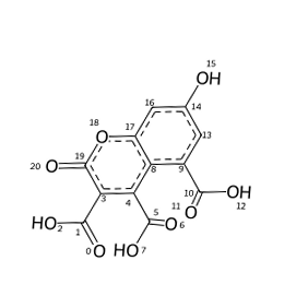 O=C(O)c1c(C(=O)O)c2c(C(=O)O)cc(O)cc2oc1=O